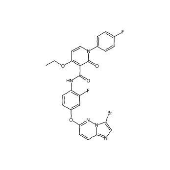 CCOc1ccn(-c2ccc(F)cc2)c(=O)c1C(=O)Nc1ccc(Oc2ccc3ncc(Br)n3n2)cc1F